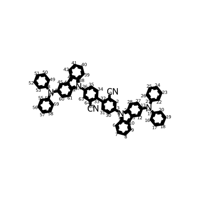 N#Cc1cc(-n2c3ccccc3c3cc(N(c4ccccc4)c4ccccc4)ccc32)ccc1-c1ccc(-n2c3ccccc3c3cc(N(c4ccccc4)c4ccccc4)ccc32)cc1C#N